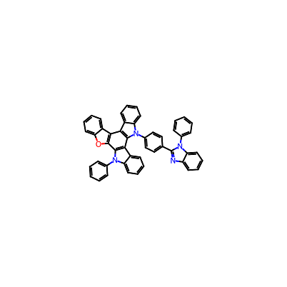 c1ccc(-n2c(-c3ccc(-n4c5ccccc5c5c6c7ccccc7oc6c6c(c7ccccc7n6-c6ccccc6)c54)cc3)nc3ccccc32)cc1